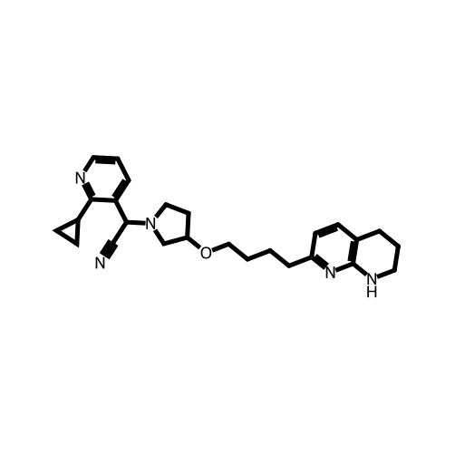 N#CC(c1cccnc1C1CC1)N1CCC(OCCCCc2ccc3c(n2)NCCC3)C1